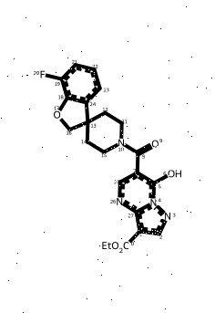 CCOC(=O)c1cnn2c(O)c(C(=O)N3CCC4(CC3)COc3c(F)cccc34)cnc12